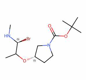 CN[C@@H](Br)C(C)O[C@H]1CCN(C(=O)OC(C)(C)C)C1